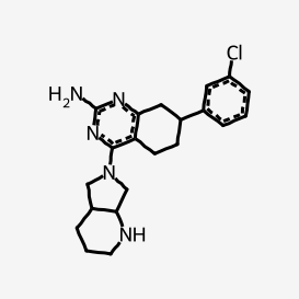 Nc1nc2c(c(N3CC4CCCNC4C3)n1)CCC(c1cccc(Cl)c1)C2